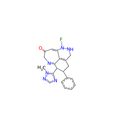 Cn1ncnc1C1C2=NCC(=O)C=C3C2=C(CNN3F)CC1c1ccccc1